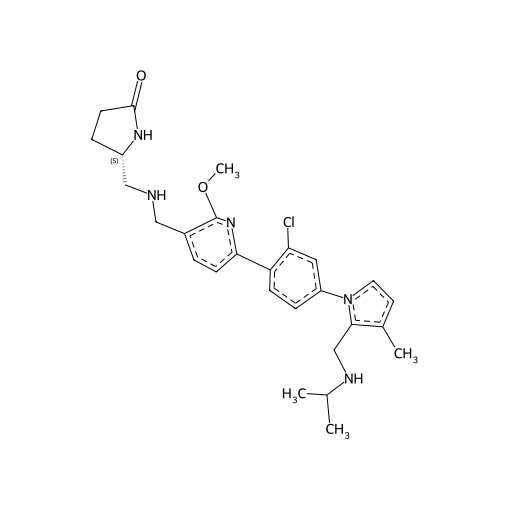 COc1nc(-c2ccc(-n3ccc(C)c3CNC(C)C)cc2Cl)ccc1CNC[C@@H]1CCC(=O)N1